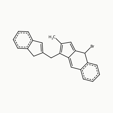 CC1=C(CC2=Cc3ccccc3C2)C2=Cc3ccccc3C(Br)C2=C1